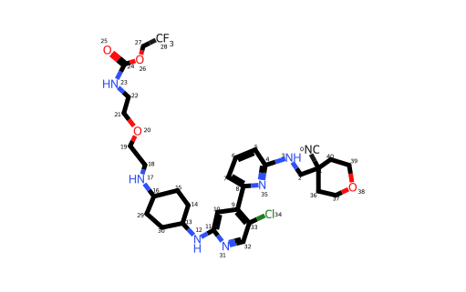 N#CC1(CNc2cccc(-c3cc(NC4CCC(NCCOCCNC(=O)OCC(F)(F)F)CC4)ncc3Cl)n2)CCOCC1